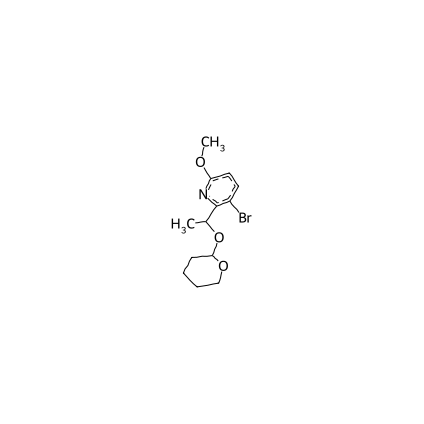 COc1ccc(Br)c(C(C)OC2CCCCO2)n1